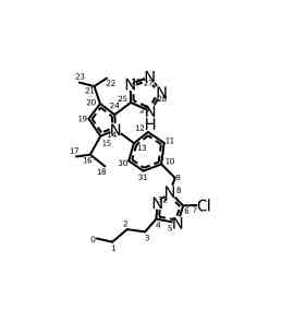 CCCCc1nc(Cl)n(Cc2ccc(-n3c(C(C)C)cc(C(C)C)c3-c3nnn[nH]3)cc2)n1